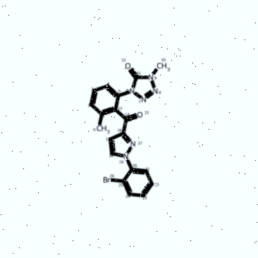 Cc1cccc(-n2nnn(C)c2=O)c1C(=O)c1ccn(-c2ccccc2Br)n1